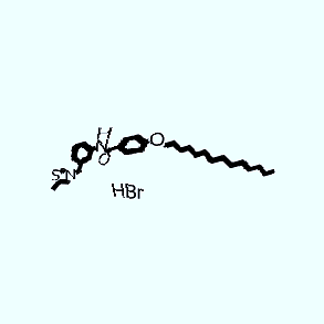 Br.CCCCCCCCCCCCCCOc1ccc(C(=O)Nc2cccc(CN3C=C(C)SC3)c2)cc1